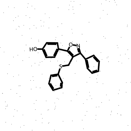 Oc1ccc(-c2onc(-c3cc[c]cc3)c2CSc2ccccc2)cc1